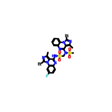 CCc1nc(C)c2c(NS(=O)(=O)CN(c3nc4ccccc4n4c(CC)nc(C)c34)S(C)(=O)=O)nc3ccc(F)cc3n12